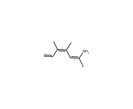 C=C/C(C)=C(C)\C=C(/N)F